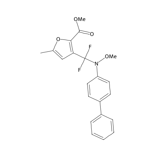 COC(=O)c1oc(C)cc1C(F)(F)N(OC)c1ccc(-c2ccccc2)cc1